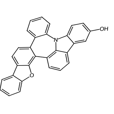 Oc1ccc2c(c1)c1cccc3c1n2-c1ccccc1-c1ccc2c(oc4ccccc42)c1-3